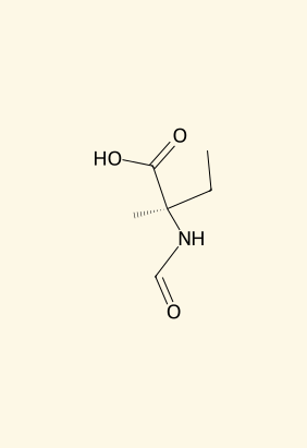 CC[C@@](C)(NC=O)C(=O)O